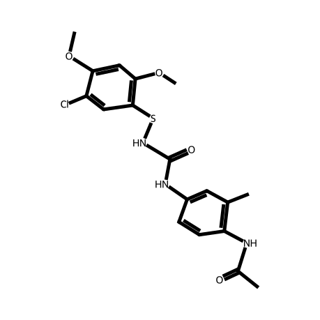 COc1cc(OC)c(SNC(=O)Nc2ccc(NC(C)=O)c(C)c2)cc1Cl